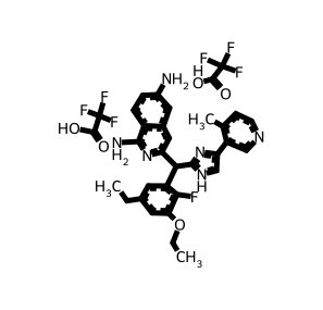 CCOc1cc(CC)cc(C(c2cc3cc(N)ccc3c(N)n2)c2nc(-c3cnccc3C)c[nH]2)c1F.O=C(O)C(F)(F)F.O=C(O)C(F)(F)F